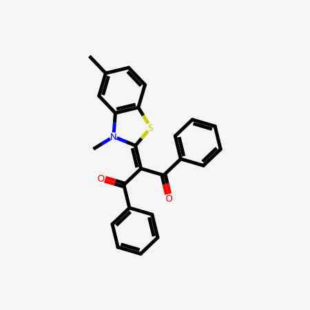 Cc1ccc2c(c1)N(C)C(=C(C(=O)c1ccccc1)C(=O)c1ccccc1)S2